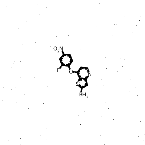 Bc1cc2nccc(Oc3ccc([N+](=O)[O-])cc3F)c2s1